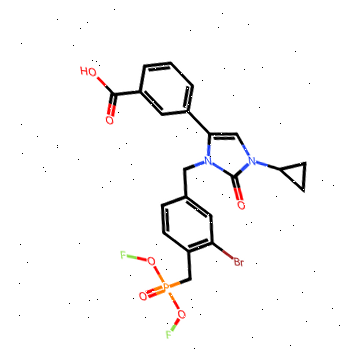 O=C(O)c1cccc(-c2cn(C3CC3)c(=O)n2Cc2ccc(CP(=O)(OF)OF)c(Br)c2)c1